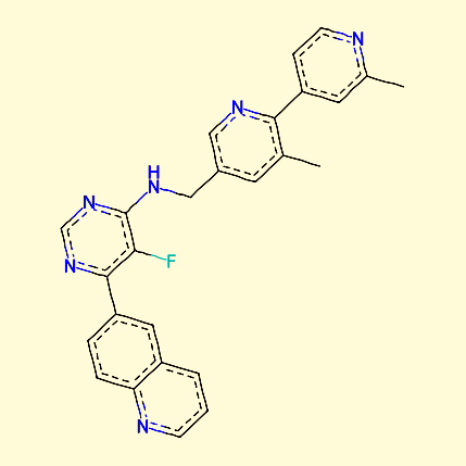 Cc1cc(-c2ncc(CNc3ncnc(-c4ccc5ncccc5c4)c3F)cc2C)ccn1